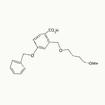 COCCCCOCc1cc(OCc2ccccc2)ccc1C(=O)O